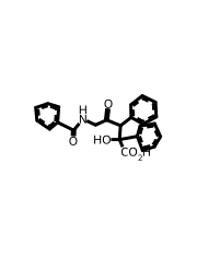 O=C(NCC(=O)C(c1ccccc1)C(O)(C(=O)O)c1ccccc1)c1ccccc1